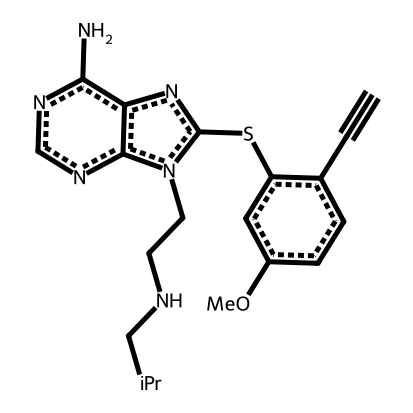 C#Cc1ccc(OC)cc1Sc1nc2c(N)ncnc2n1CCNCC(C)C